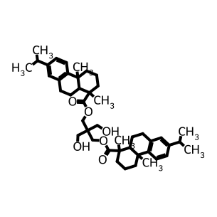 CC(C)c1ccc2c(c1)CCC1C(C)(C(=O)OCC(CO)(CO)COC(=O)C3(C)CCCC4(C)c5ccc(C(C)C)cc5CCC34)CCCC21C